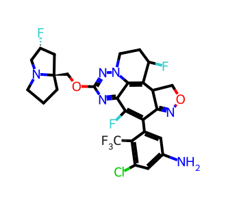 Nc1cc(Cl)c(C(F)(F)F)c(C2=C(F)C3=NC(OC[C@@]45CCCN4C[C@H](F)C5)=NN4CCC(F)C(=C34)C3CON=C23)c1